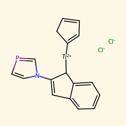 C1=CC[C]([Ti+2][CH]2C(n3ccpc3)=Cc3ccccc32)=C1.[Cl-].[Cl-]